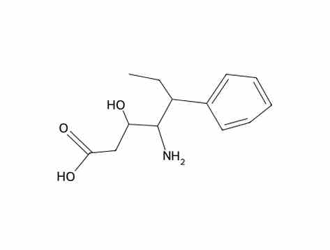 CCC(c1ccccc1)C(N)C(O)CC(=O)O